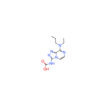 CCCN(CC)c1nccn2c(NC(=O)O)nnc12